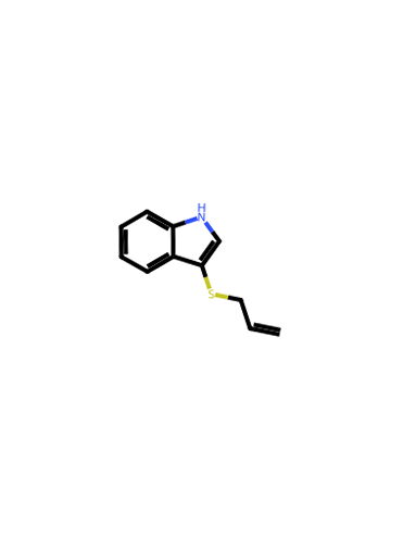 C=CCSc1c[nH]c2ccccc12